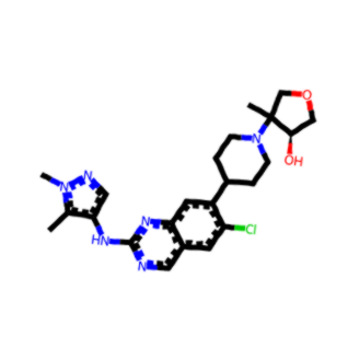 Cc1c(Nc2ncc3cc(Cl)c(C4CCN(C5(C)COC[C@H]5O)CC4)cc3n2)cnn1C